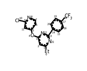 CCc1cc(Oc2ccnc(Cl)c2)nc(-c2ccc(C(F)(F)F)cc2)n1